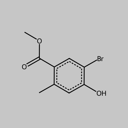 COC(=O)c1cc(Br)c(O)cc1C